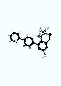 O=S1(=O)NCc2cc(Cl)cc(-c3ccc(-c4ccccn4)cc3)c2N1